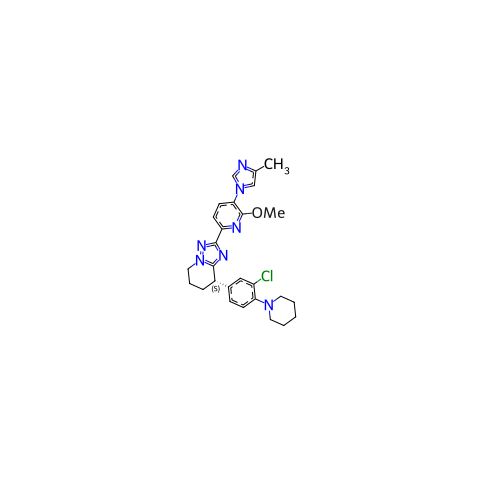 COc1nc(-c2nc3n(n2)CCC[C@H]3c2ccc(N3CCCCC3)c(Cl)c2)ccc1-n1cnc(C)c1